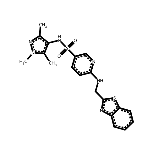 Cc1nn(C)c(C)c1NS(=O)(=O)c1ccc(NCc2nc3ccccc3s2)nc1